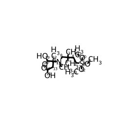 CO[Si](CCC(C)(C)CN(C)[C@@](C)(CC(=O)O)C(=O)O)(OC)OC